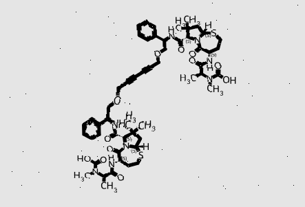 CC(C(=O)N[C@H]1CCS[C@H]2CC(C)(C)[C@@H](C(=O)NC(COCC#CC#CCOCC(NC(=O)[C@H]3N4C(=O)[C@@H](NC(=O)C(C)N(C)C(=O)O)CCS[C@H]4CC3(C)C)c3ccccc3)c3ccccc3)N2C1=O)N(C)C(=O)O